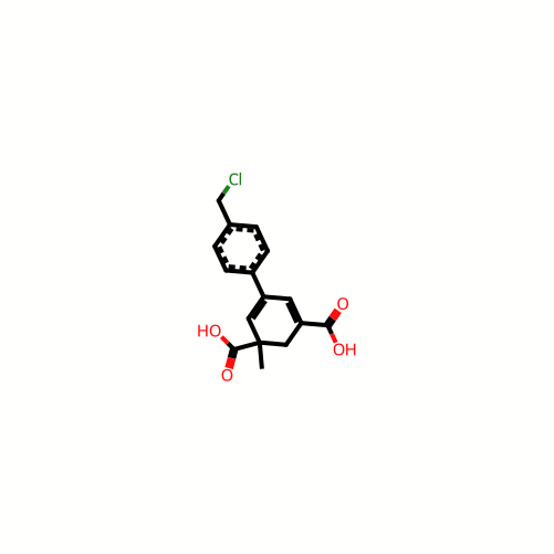 CC1(C(=O)O)C=C(c2ccc(CCl)cc2)C=C(C(=O)O)C1